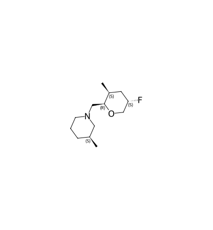 C[C@H]1CCCN(C[C@@H]2OC[C@@H](F)C[C@@H]2C)C1